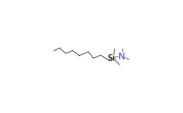 CCCCCCCCC[Si](C)(C)N(C)C